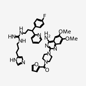 COc1cc2nc(N3CCN(C(=O)c4ccco4)CC3)nc(N)c2cc1OC.N=C(NCCCc1cnc[nH]1)NCCC(c1ccc(F)cc1)c1ccccn1